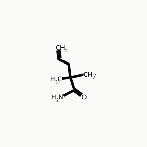 [CH2]C(C)(CC=C)C(N)=O